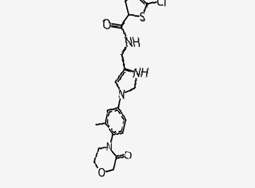 Cc1cc(N2C=C(CNC(=O)C3CC=C(Cl)S3)NC2)ccc1N1CCOCC1=O